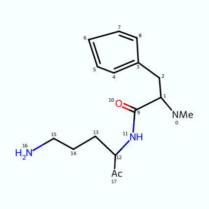 CNC(Cc1ccccc1)C(=O)NC(CCCN)C(C)=O